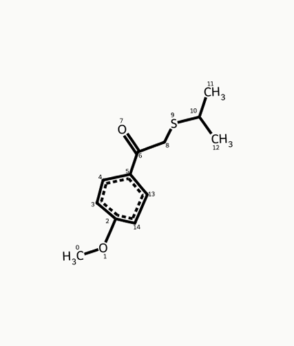 COc1ccc(C(=O)CSC(C)C)cc1